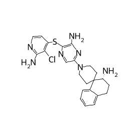 Nc1nc(N2CCC3(CC2)c2ccccc2CC[C@H]3N)cnc1Sc1ccnc(N)c1Cl